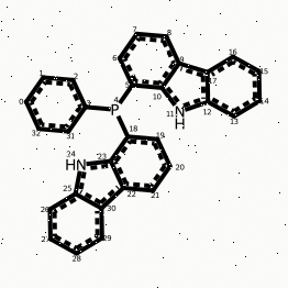 c1ccc(P(c2cccc3c2[nH]c2ccccc23)c2cccc3c2[nH]c2ccccc23)cc1